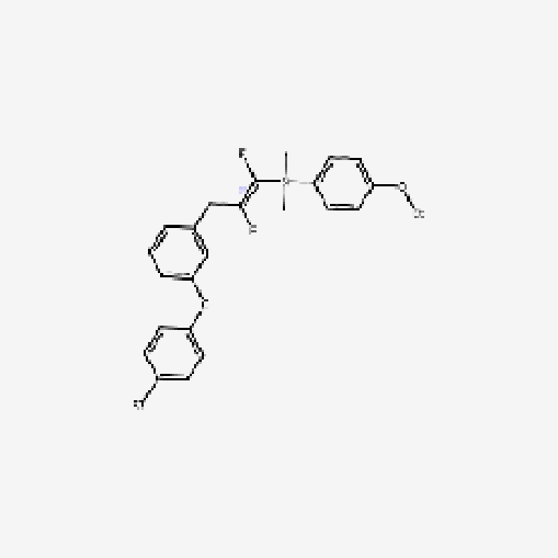 CCOc1ccc([Si](C)(C)/C(F)=C(\F)Cc2cccc(Oc3ccc(Cl)cc3)c2)cc1